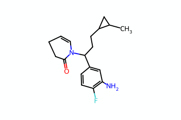 CC1CC1CCC(c1ccc(F)c(N)c1)N1C=CCCC1=O